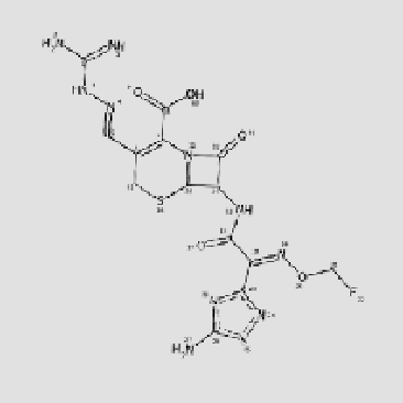 N=C(N)NN=CC1=C(C(=O)O)N2C(=O)C(NC(=O)C(=NOCF)c3nsc(N)n3)C2SC1